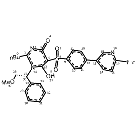 CCCCc1nc(=O)c(S(=O)(=O)c2ccc(-c3ccc(F)nc3)cc2)c(O)n1[C@@H](COC)c1ccccc1